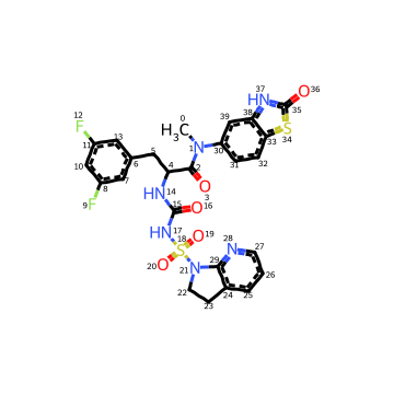 CN(C(=O)C(Cc1cc(F)cc(F)c1)NC(=O)NS(=O)(=O)N1CCc2cccnc21)c1ccc2sc(=O)[nH]c2c1